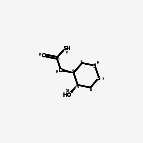 O=C(S)O[C@H]1CSSC[C@@H]1O